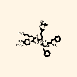 NCCCC[C@@H](NC(=O)C(CCC1CC1)NC(=O)[C@@H](Cc1ccccc1)NC(=O)[C@H](N)Cc1ccccc1)C(=O)N1CCC(N)(C(=O)O)CC1.O=C(O)C(F)(F)F